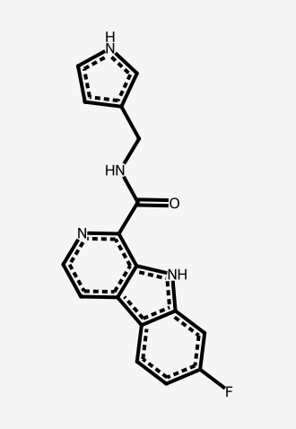 O=C(NCc1cc[nH]c1)c1nccc2c1[nH]c1cc(F)ccc12